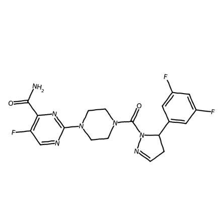 NC(=O)c1nc(N2CCN(C(=O)N3N=CCC3c3cc(F)cc(F)c3)CC2)ncc1F